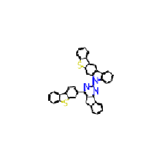 c1ccc2c(c1)Cc1c(-c3ccc4c(c3)sc3ccccc34)nc(-n3c4ccccc4c4cc5c(cc43)sc3ccccc35)nc1-2